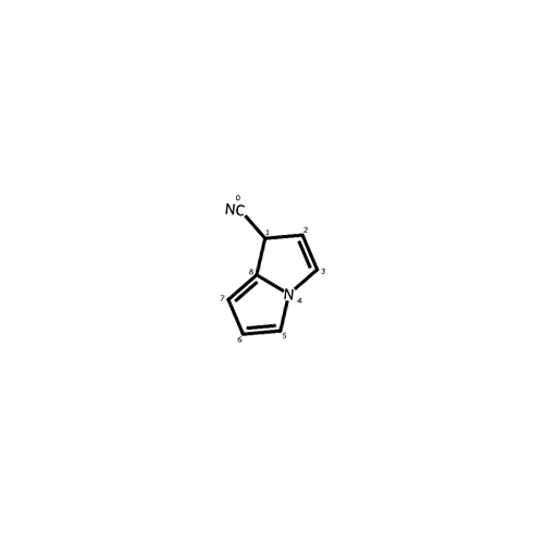 N#CC1C=Cn2cccc21